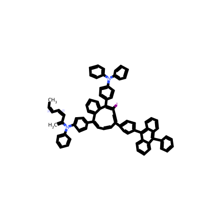 C=C(/C=C\C=C/C)N(c1ccccc1)c1ccc(-c2cccc(-c3ccc(-c4c5ccccc5c(-c5ccccc5)c5ccccc45)cc3)cc(I)c(-c3ccc(N(c4ccccc4)c4ccccc4)cc3)c3ccccc23)cc1